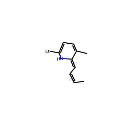 C/C=C\C=C1/NC(CC)=CC=C1C